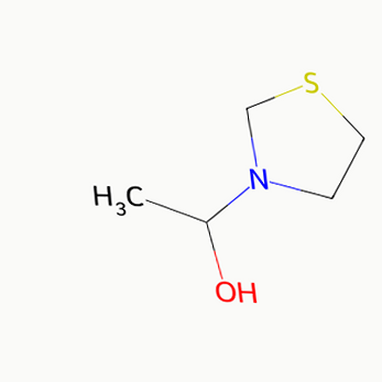 CC(O)N1CCSC1